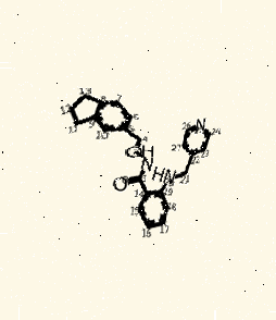 O=C(NOCc1ccc2c(c1)CCC2)c1ccccc1NCc1ccncc1